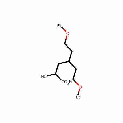 CCOCCC(CCOCC)CC(C#N)C(=O)O